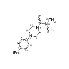 CC(C)c1ccc(N2CCN(C(=S)N(C)C)CC2)cc1